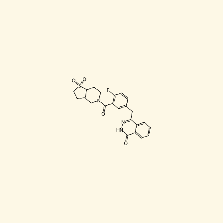 O=C(c1cc(Cc2n[nH]c(=O)c3ccccc23)ccc1F)N1CCC2C(CCS2(=O)=O)C1